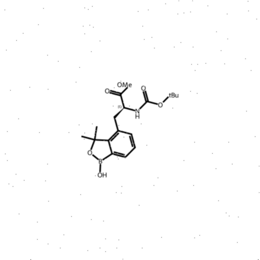 COC(=O)[C@H](Cc1cccc2c1C(C)(C)OB2O)NC(=O)OC(C)(C)C